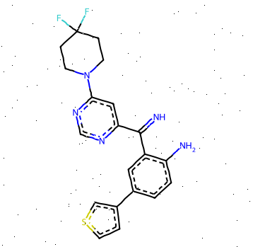 N=C(c1cc(N2CCC(F)(F)CC2)ncn1)c1cc(-c2ccsc2)ccc1N